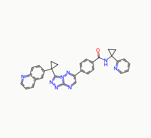 O=C(NC1(c2ccccn2)CC1)c1ccc(-c2cnc3nnc(C4(c5ccc6ncccc6c5)CC4)n3n2)cc1